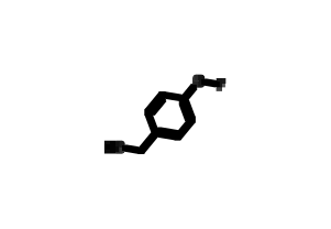 OCc1ccc(OF)cc1